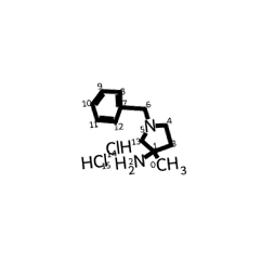 CC1(N)CCN(Cc2ccccc2)C1.Cl.Cl